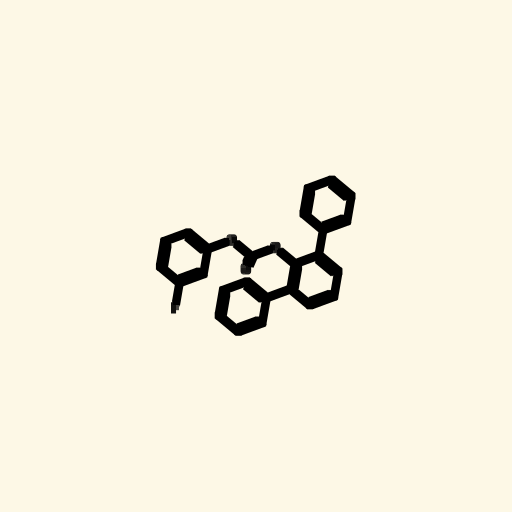 O=C(Oc1cccc(F)c1)Oc1c(-c2ccccc2)cccc1-c1ccccc1